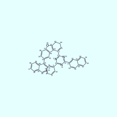 C1=C(c2nc(-c3ccccc3)nc(-c3ccc4ccccc4c3)n2)c2c(oc3ccc(-c4cccc5ccccc45)cc23)CC1